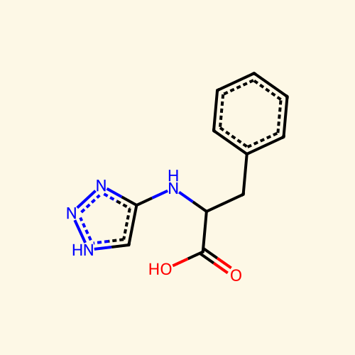 O=C(O)C(Cc1ccccc1)Nc1c[nH]nn1